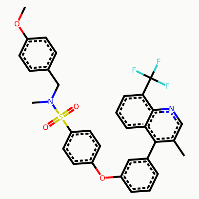 COc1ccc(CN(C)S(=O)(=O)c2ccc(Oc3cccc(-c4c(C)cnc5c(C(F)(F)F)cccc45)c3)cc2)cc1